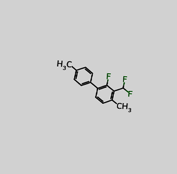 Cc1ccc(-c2ccc(C)c(C(F)F)c2F)cc1